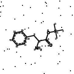 C[Si](C)(C)OC(=O)C(N)Cc1ccccc1